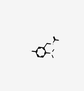 CN(C)c1ccc(N)cc1CNC(=O)O